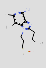 COCCc1nc2c(N)nc(C)c(C)c2n1CCC[S+](C)[O-]